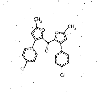 Cc1cc(-c2ccc(Cl)cc2)c(C(=O)c2oc(C)cc2-c2ccc(Cl)cc2)o1